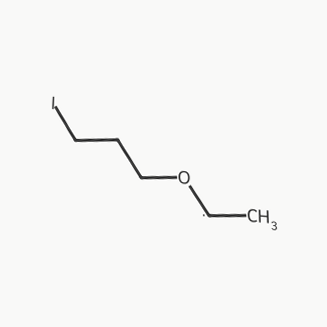 C[CH]OCCCI